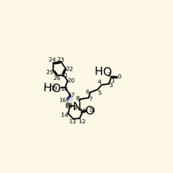 C=C(O)CCCCCCN1C(=O)CCC[C@@H]1/C=C/C(O)Cc1ccccc1